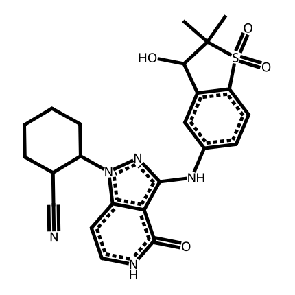 CC1(C)C(O)c2cc(Nc3nn(C4CCCCC4C#N)c4cc[nH]c(=O)c34)ccc2S1(=O)=O